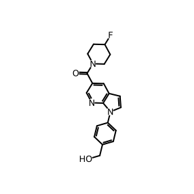 O=C(c1cnc2c(ccn2-c2ccc(CO)cc2)c1)N1CCC(F)CC1